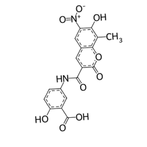 Cc1c(O)c([N+](=O)[O-])cc2cc(C(=O)Nc3ccc(O)c(C(=O)O)c3)c(=O)oc12